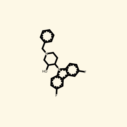 OC1CN(Cc2ccccc2)CCC1n1c2ccc(F)cc2c2cc(F)ccc21